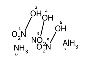 N.O=[N+]([O-])O.O=[N+]([O-])O.O=[N+]([O-])O.[AlH3]